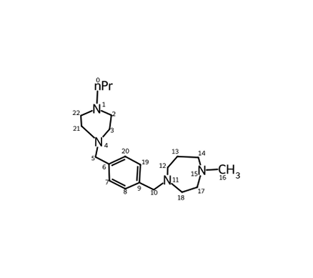 CCCN1CCN(Cc2ccc(CN3CCCN(C)CC3)cc2)CC1